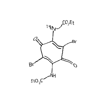 CCOC(=O)NC1=C(Br)C(=O)C(NC(=O)OCC)=C(Br)C1=O